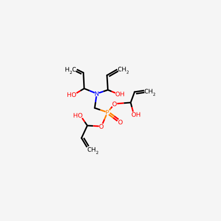 C=CC(O)OP(=O)(CN(C(O)C=C)C(O)C=C)OC(O)C=C